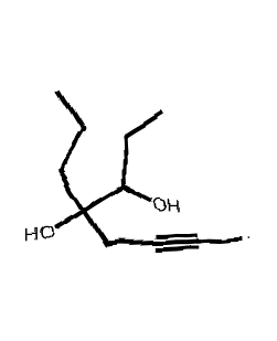 [CH2]C#CCC(O)(CCC)C(O)CC